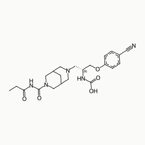 CCC(=O)NC(=O)N1CC2CC(CN(C[C@H](COc3ccc(C#N)cc3)NC(=O)O)C2)C1